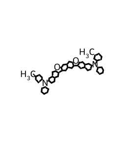 Cc1ccc(N(c2ccccc2)c2ccc3cc4c(cc3c2)oc2cc3cc5oc6cc7cc(N(c8ccccc8)c8cccc(C)c8)ccc7cc6c5cc3cc24)cc1